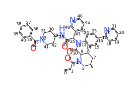 C=CC(=O)N1CCCCC1C(=O)N(c1ccc(-c2ccccn2)cc1)C(C(=O)NC1CCN(C(=O)c2ccccc2)CC1)c1cccnc1